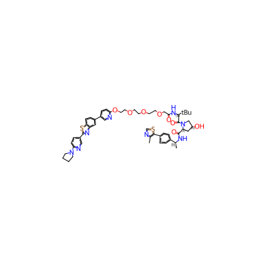 Cc1ncsc1-c1ccc([C@H](C)NC(=O)[C@@H]2C[C@@H](O)CN2C(=O)[C@@H](NC(=O)COCCOCCOCCOc2ccc(-c3ccc4sc(-c5ccc(N6CCCC6)nc5)nc4c3)cn2)C(C)(C)C)cc1